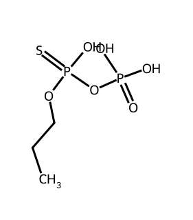 CCCOP(O)(=S)OP(=O)(O)O